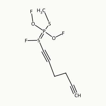 C#CCCC#CS(F)=P(OF)(OF)SC